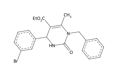 CCOC(=O)C1=C(C)N(Cc2ccccc2)C(=O)NC1c1cccc(Br)c1